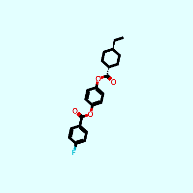 CC[C@H]1CC[C@H](C(=O)Oc2ccc(OC(=O)c3ccc(F)cc3)cc2)CC1